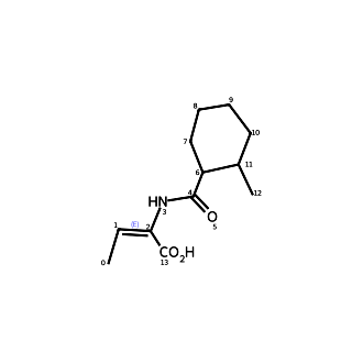 C/C=C(/NC(=O)C1CCCCC1C)C(=O)O